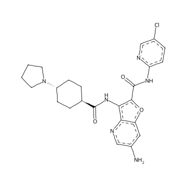 Nc1cnc2c(NC(=O)[C@H]3CC[C@H](N4CCCC4)CC3)c(C(=O)Nc3ccc(Cl)cn3)oc2c1